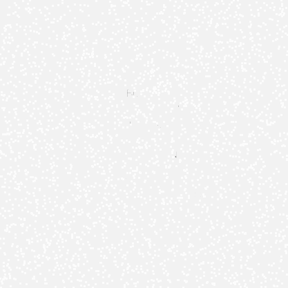 CC=CCC1COC(C)(C)N1C(=O)OC(C)(C)C